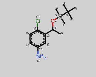 CC(O[Si](C)(C)C(C)(C)C)c1cc(N)ccc1Cl